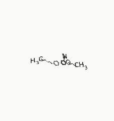 CCCCCC[C@H]1CC[C@H](c2ccc(OCCCC)c(C#N)c2)CC1